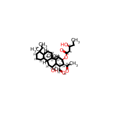 CCC(O)CC(=O)O[C@@H]1C[C@H]2[C@]3(C)CC[C@H]4[C@@](C)(CC)CCC[C@]4(C)[C@H]3C[C@@H](O)[C@]2(C)[C@@H](C=O)[C@@H]1C(C)=O